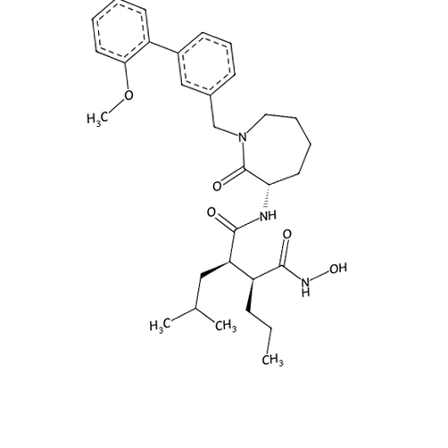 CCC[C@H](C(=O)NO)[C@@H](CC(C)C)C(=O)N[C@H]1CCCCN(Cc2cccc(-c3ccccc3OC)c2)C1=O